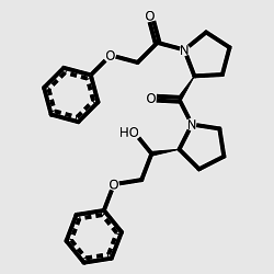 O=C(COc1ccccc1)N1CCC[C@H]1C(=O)N1CCC[C@H]1C(O)COc1ccccc1